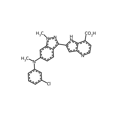 CN(c1cccc(Cl)c1)c1ccc2c(-c3cc4nccc(C(=O)O)c4[nH]3)nn(C)c2c1